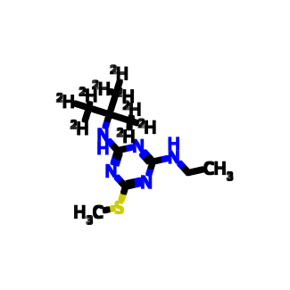 [2H]C([2H])([2H])C(Nc1nc(NCC)nc(SC)n1)(C([2H])([2H])[2H])C([2H])([2H])[2H]